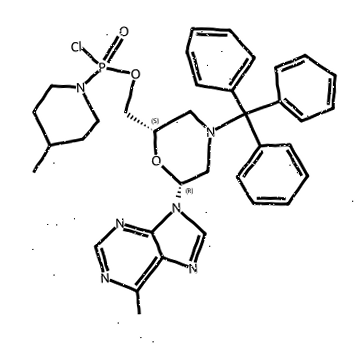 Cc1ncnc2c1ncn2[C@H]1CN(C(c2ccccc2)(c2ccccc2)c2ccccc2)C[C@@H](COP(=O)(Cl)N2CCC(C)CC2)O1